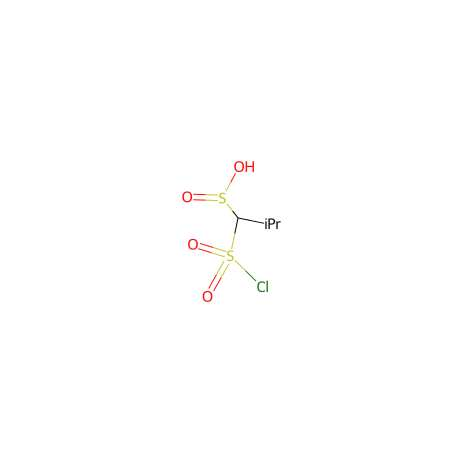 CC(C)C(S(=O)O)S(=O)(=O)Cl